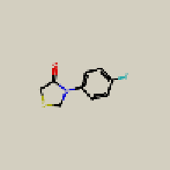 O=C1CSCN1c1ccc(F)cc1